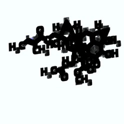 C/C=C(\C)C(=O)OC[C@]1(O)[C@H]2C[C@H]2[C@]2(C)[C@@H]3CC4=C5[C@H](/C(=C(\C)C(=O)OC)C(=O)[C@H](O)[C@@]5(C)[C@@H]5C[C@H]45)[C@@]34OC(=O)C(COC(C)=O)=C4C[C@@H]12